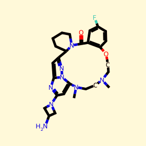 CN1CCOc2ccc(F)cc2C(=O)N2CCCCC2c2cc3nc(N4CC(N)C4)cc(n3n2)N(C)CC1